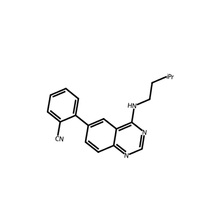 CC(C)CCNc1ncnc2ccc(-c3ccccc3C#N)cc12